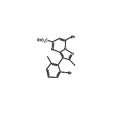 CCOC(=O)c1cc(C(C)C)n2nc(C)c(-c3c(C)cccc3Br)c2n1